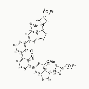 CCOC(=O)C1CN(C2CCc3cc(-c4cccc(-c5cccc(-c6cc7c(c(OC)c6)C(N6CC(C(=O)OCC)C6)CC7)c5Cl)c4Cl)cc(OC)c32)C1